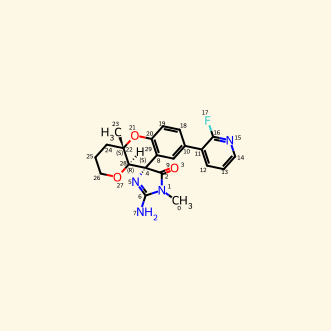 CN1C(=O)[C@]2(N=C1N)c1cc(-c3cccnc3F)ccc1O[C@@]1(C)CCCO[C@@H]12